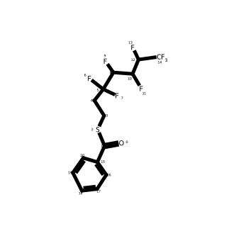 O=C(SCCC(F)(F)C(F)C(F)C(F)C(F)(F)F)c1ccccc1